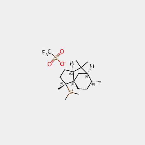 C[C@@H]1CC[C@]23C[C@H]1C(C)(C)[C@@H]2CC[C@@]3(C)[S+](C)C.O=S(=O)([O-])C(F)(F)F